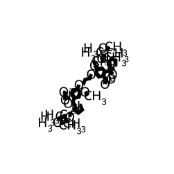 COc1cc(C(=O)N2CCC[C@H]2CO[Si](C)(C)C(C)(C)C)c([N+](=O)[O-])cc1OCCCOc1cc([N+](=O)[O-])c(C(=O)N2CCC[C@H]2CO[Si](C)(C)C(C)(C)C)cc1OC